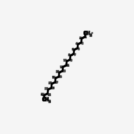 [CH2]CCCCCCCCCCCCCCCCCCCCC[CH]C